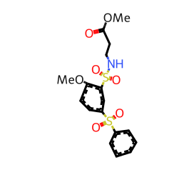 COC(=O)CCNS(=O)(=O)c1cc(S(=O)(=O)c2ccccc2)ccc1OC